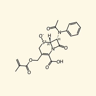 C=C(C)C(=O)OCC1=C(C(=O)O)N2C(=O)[C@@H](N(C(C)=O)c3ccccc3)[C@H]2[S+]([O-])C1